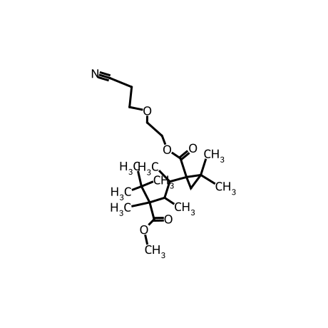 COC(=O)C(C)(C(C)C(C)C1(C(=O)OCCOCCC#N)CC1(C)C)C(C)(C)C